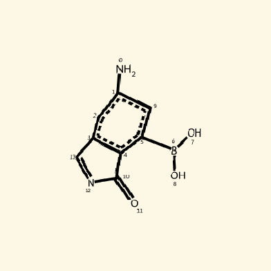 Nc1cc2c(c(B(O)O)c1)C(=O)N=C2